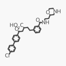 O=C(CC(CCc1cccc(C(=O)NCCC2CNCCO2)c1)C(=O)O)c1ccc(-c2ccc(Cl)cc2)cc1